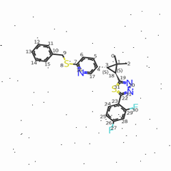 CC1(C)[C@@H](c2ccc(SCc3ccccc3)nc2)[C@@H]1c1nnc(-c2ccc(F)cc2F)s1